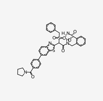 NS(=O)(=O)c1ccccc1CNC(=O)C(c1nc2ccc(-c3ccc(C(=O)N4CCCC4)cc3)cc2s1)S(=O)(=O)Cc1ccccc1